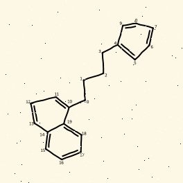 [CH](CCCc1ccccc1)c1cccc2ccccc12